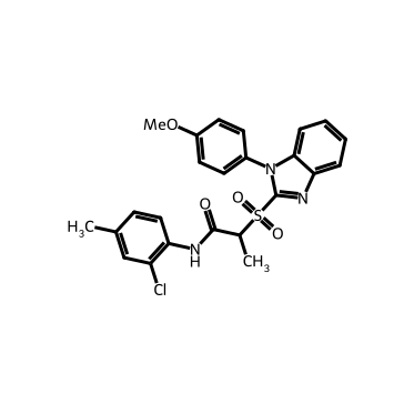 COc1ccc(-n2c(S(=O)(=O)C(C)C(=O)Nc3ccc(C)cc3Cl)nc3ccccc32)cc1